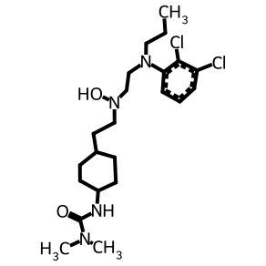 CCCN(CCN(O)CCC1CCC(NC(=O)N(C)C)CC1)c1cccc(Cl)c1Cl